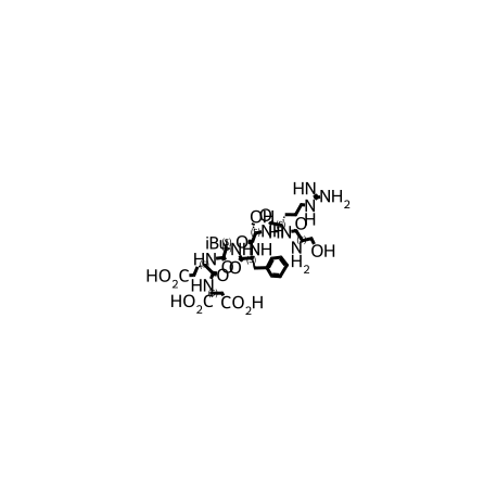 CC[C@H](C)[C@H](NC(=O)[C@H](Cc1ccccc1)NC(=O)[C@H](CO)NC(=O)[C@H](CCCNC(=N)N)NC(=O)[C@@H](N)CO)C(=O)N[C@@H](CCC(=O)O)C(=O)N[C@@H](CC(=O)O)C(=O)O